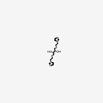 O[C@H](CSCCn1ccnc1)[C@@H](O)CSCCn1ccnc1